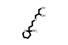 OCC(O)COCCCC1([SiH3])CCCCO1